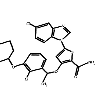 CC(Oc1cc(-n2cnc3cc(Cl)ccc32)sc1C(N)=O)c1cccc(OC2CCNCC2)c1Cl